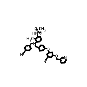 Cc1c(NS(C)(=O)=O)cccc1N(Cc1ccc(C#N)cc1)Cc1ccc(Oc2cc(C#N)cc(OCc3cccnc3)c2)cc1